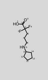 O=C(O)C(F)(F)CCCNC1CCCC1